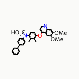 COc1cc2nccc(Oc3ccc(N(C(=O)O)c4ccc(-c5ccccc5)cc4)c(C)c3C)c2cc1OC